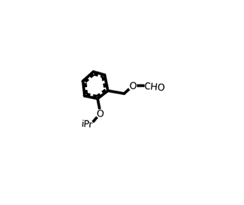 CC(C)Oc1ccccc1COC=O